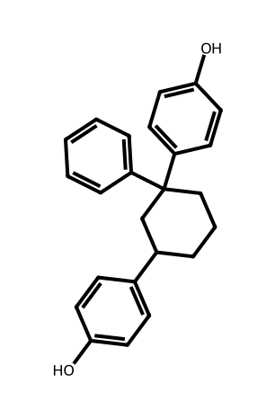 Oc1ccc(C2CCCC(c3ccccc3)(c3ccc(O)cc3)C2)cc1